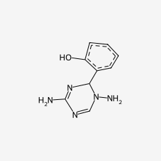 NC1=NC(c2ccccc2O)N(N)C=N1